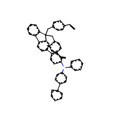 C=Cc1ccc(CC2(Cc3ccc(C=C)cc3)c3ccccc3-c3ccc(-c4ccc(N(c5ccccc5)c5ccc(-c6ccccc6)cc5)cc4)cc32)cc1